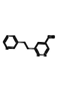 O=Cc1cnnc(CCc2cccnc2)c1